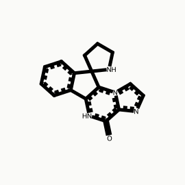 O=c1[nH]c2c(n3ccnc13)C1(CCCN1)c1ccccc1-2